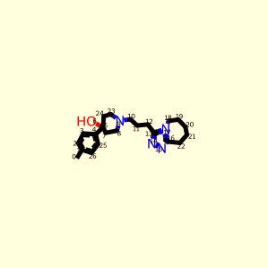 Cc1ccc(C2(O)CCN(CCCc3nnc4n3CCCCC4)CC2)cc1